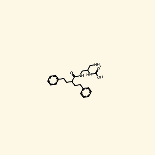 NCC(CNC(=O)C(CCc1ccccc1)CCc1ccccc1)NC(=O)O